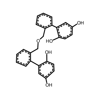 Oc1ccc(O)c(-c2ccccc2COCc2ccccc2-c2cc(O)ccc2O)c1